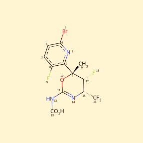 C[C@]1(c2nc(Br)ccc2F)OC(NC(=O)O)=N[C@@H](C(F)(F)F)[C@H]1F